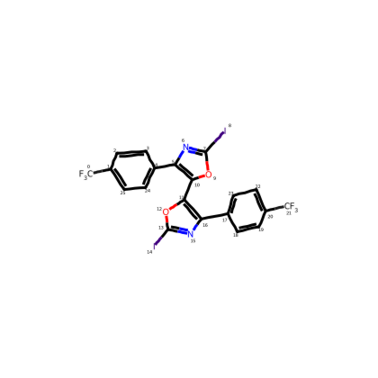 FC(F)(F)c1ccc(-c2nc(I)oc2-c2oc(I)nc2-c2ccc(C(F)(F)F)cc2)cc1